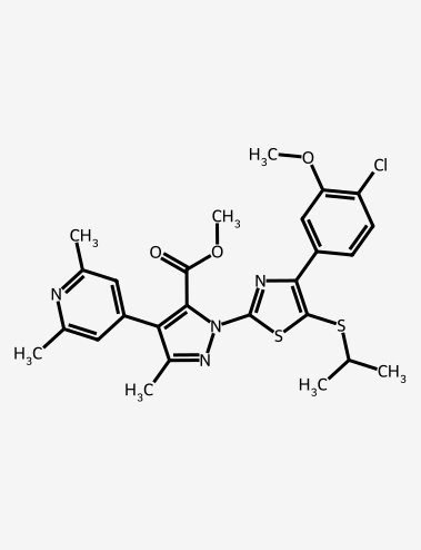 COC(=O)c1c(-c2cc(C)nc(C)c2)c(C)nn1-c1nc(-c2ccc(Cl)c(OC)c2)c(SC(C)C)s1